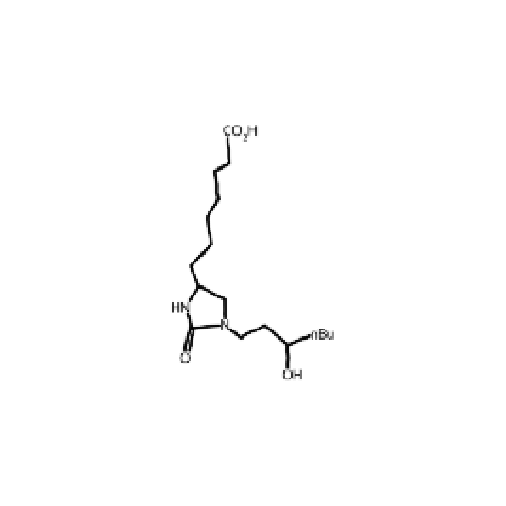 CCCCC(O)CCN1CC(CCCCCCC(=O)O)NC1=O